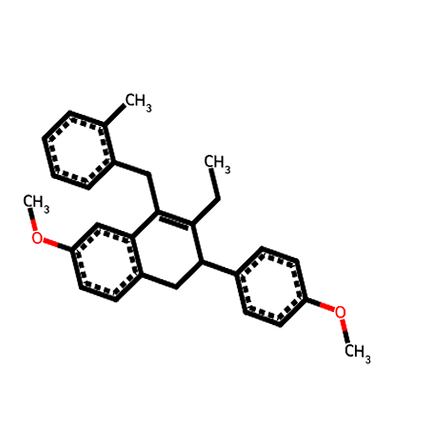 CCC1=C(Cc2ccccc2C)c2cc(OC)ccc2CC1c1ccc(OC)cc1